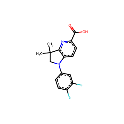 CC1(C)CN(c2ccc(F)c(F)c2)c2ccc(C(=O)O)nc21